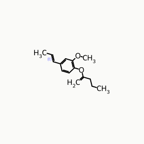 C=C(CCC)Oc1ccc(/C=C/C)cc1OC